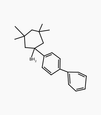 BC1(c2ccc(-c3ccccc3)cc2)CC(C)(C)CC(C)(C)C1